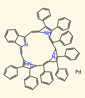 [Pd].c1ccc(C2=C(c3ccccc3)c3nc2c(-c2ccccc2)c2[nH]c(cc4nc(cc5[nH]c(c3-c3ccccc3)c(-c3ccccc3)c5-c3ccccc3)-c3ccccc3-4)c(-c3ccccc3)c2-c2ccccc2)cc1